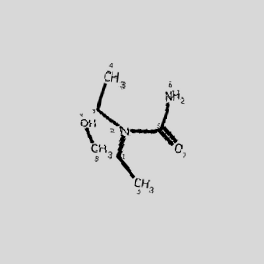 CCN(CC)C(N)=O.CO